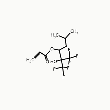 C=CC(=O)OC(CC(C)C)C(O)(C(F)(F)F)C(F)(F)F